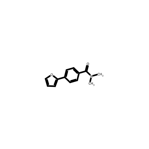 CN(C)C(=O)c1ccc(-c2ccco2)cc1